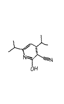 CC(C)c1cc(C(C)C)c(C#N)c(O)n1